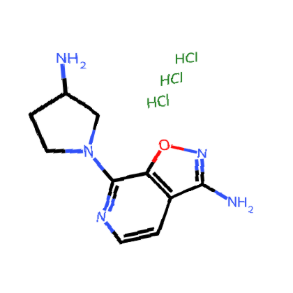 Cl.Cl.Cl.Nc1noc2c(N3CCC(N)C3)nccc12